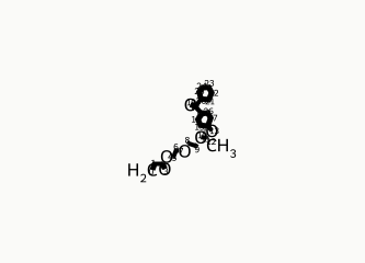 C=CC(=O)OCCOCCOC(C)Oc1ccc(C(=O)c2ccccc2)cc1